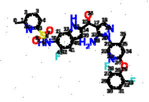 Cc1cccc(S(=O)(=O)Nc2cc3[nH]c(C(=O)c4cnn(-c5cnc(Oc6c(F)cccc6F)cc5C)c4N)cc3cc2F)n1